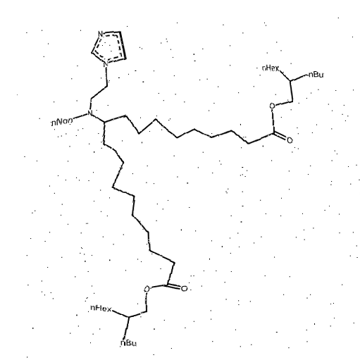 CCCCCCCCCN(CCn1ccnc1)C(CCCCCCCCC(=O)OCC(CCCC)CCCCCC)CCCCCCCCC(=O)OCC(CCCC)CCCCCC